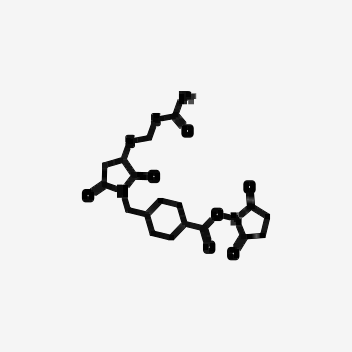 CC(C)C(=O)SCSC1CC(=O)N(CC2CCC(C(=O)ON3C(=O)CCC3=O)CC2)C1=O